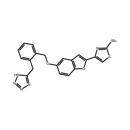 CC(C)(C)c1nc(-c2cc3cc(OCc4ccccc4Cc4nnn[nH]4)ccc3o2)cs1